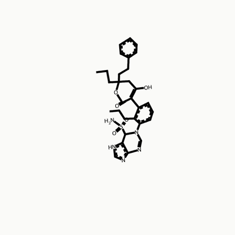 CCCc1c(C2=C(O)CC(CCC)(CCc3ccccc3)OC2=O)cccc1N1C=Nc2nc[nH]c2C1S(N)(=O)=O